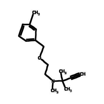 C#CC(C)(C)N(C)CCOCc1cccc(C)c1